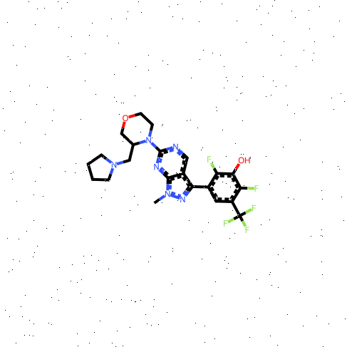 Cn1nc(-c2cc(C(F)(F)F)c(F)c(O)c2F)c2cnc(N3CCOCC3CN3CCCC3)nc21